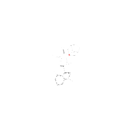 CCn1cc(C(=O)NCC2CC3CCC(C2)N3CC(=O)NC(C)(C)C)c2c(C)cccc21